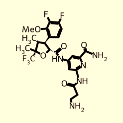 COc1c([C@H]2[C@H](C(=O)Nc3cc(NC(=O)CCN)nc(C(N)=O)c3)O[C@@](C)(C(F)(F)F)[C@H]2C)ccc(F)c1F